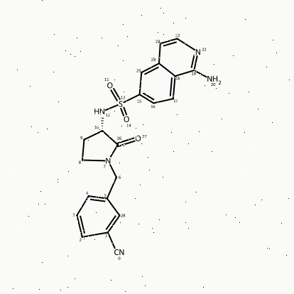 N#Cc1cccc(CN2CC[C@H](NS(=O)(=O)c3ccc4c(N)nccc4c3)C2=O)c1